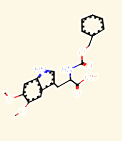 COc1cc2[nH]cc(CC(NC(=O)OCc3ccccc3)C(=O)O)c2cc1OC